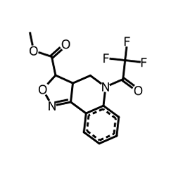 COC(=O)C1ON=C2c3ccccc3N(C(=O)C(F)(F)F)CC21